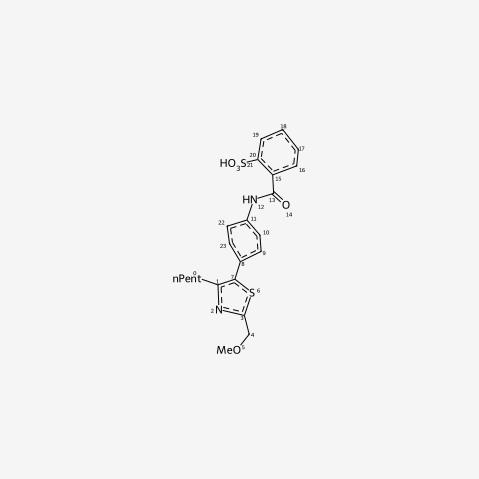 CCCCCc1nc(COC)sc1-c1ccc(NC(=O)c2ccccc2S(=O)(=O)O)cc1